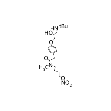 CN(CCCCO[N+](=O)[O-])C(=O)Cc1ccc(OCC(O)CNC(C)(C)C)cc1